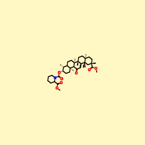 COC(=O)C1CCCCN1C(=O)O[C@H]1CC[C@@]2(C)C(CC[C@]3(C)C2C(=O)C=C2[C@H]4C[C@@](C)(C(=O)OC)CC[C@]4(C)CC[C@]23C)[C@H]1C